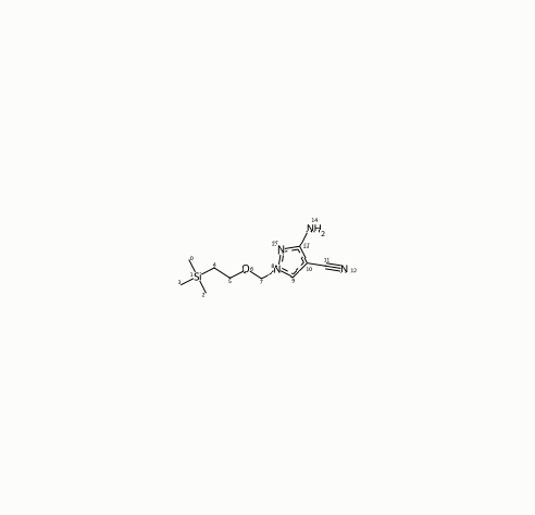 C[Si](C)(C)CCOCn1cc(C#N)c(N)n1